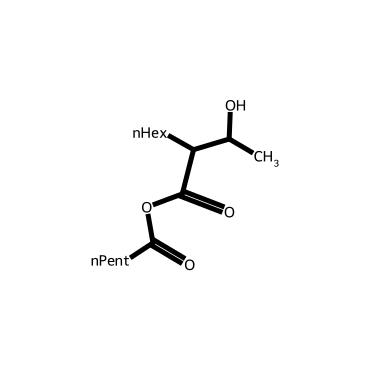 CCCCCCC(C(=O)OC(=O)CCCCC)C(C)O